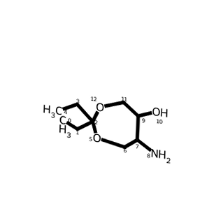 CCC1(CC)OCC(N)C(O)CO1